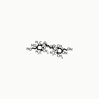 CC1(C)CC(O)(CCO)CC(C)(C)N1OC(=O)CCC(=O)ON1C(C)(C)CC(O)(CCO)CC1(C)C